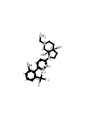 CCN1CC[C@@H]2CCN(c3ccc(-c4c(O)cccc4C(F)(F)F)nn3)[C@@H]2C1